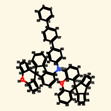 c1ccc(-c2ccc(-c3ccc(N(c4cccc5c4Oc4ccccc4C54c5ccccc5-c5ccccc54)c4cccc5c4-c4ccccc4C54c5ccccc5Oc5ccccc54)cc3)cc2)cc1